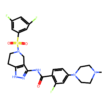 CN1CCN(c2ccc(C(=O)Nc3n[nH]c4c3CN(S(=O)(=O)c3cc(F)cc(F)c3)CC4)c(F)c2)CC1